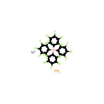 Fc1c(F)c(F)c([B-](c2c(F)c(F)c(F)c(F)c2F)(c2c(F)c(F)c(F)c(F)c2F)c2c(F)c(F)c(F)c(F)c2F)c(F)c1F.P.[Li+]